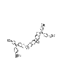 CC(C)(C)c1ccc(N(C2=CC3=Cc4oc5cc6cc7oc8cc9cc(N(c%10ccc(C(C)(C)C)cc%10)c%10ccc(C(C)(C)C)cc%10)ccc9cc8c7cc6cc5c4CC3C=C2)c2ccc(C(C)(C)C)cc2)cc1